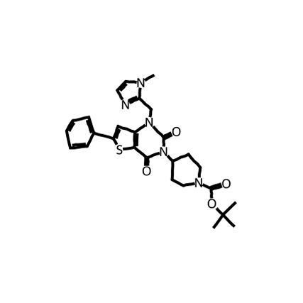 Cn1ccnc1Cn1c(=O)n(C2CCN(C(=O)OC(C)(C)C)CC2)c(=O)c2sc(-c3ccccc3)cc21